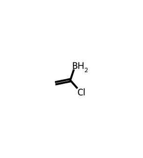 BC(=C)Cl